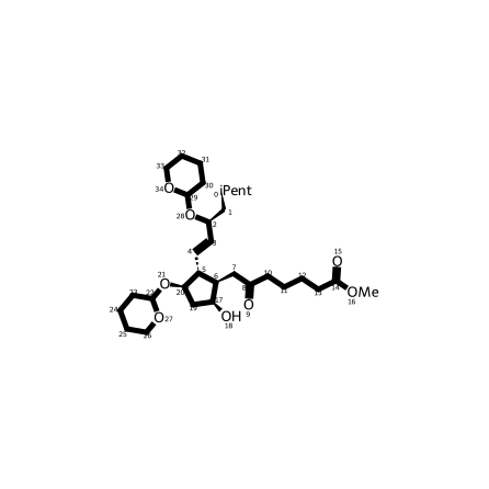 CCC[C@H](C)C[C@@H](/C=C/[C@@H]1[C@@H](CC(=O)CCCCC(=O)OC)[C@@H](O)C[C@H]1OC1CCCCO1)OC1CCCCO1